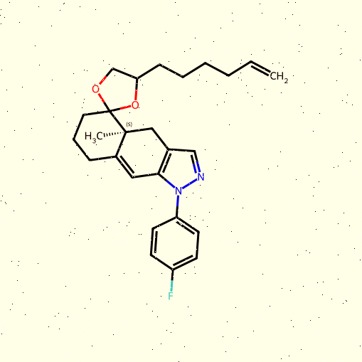 C=CCCCCC1COC2(CCCC3=Cc4c(cnn4-c4ccc(F)cc4)C[C@@]32C)O1